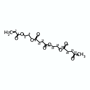 C=CC(=O)OCCOC(=O)CCC(=O)OCCOC(=O)CCC(C)=O